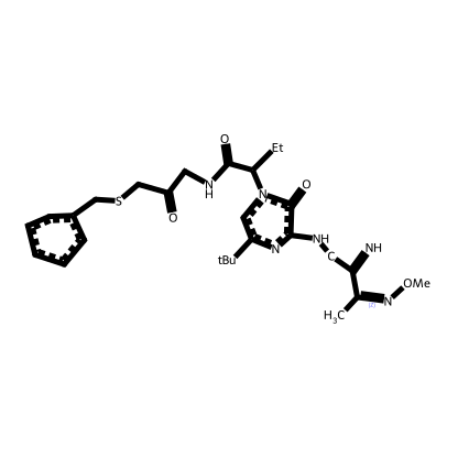 CCC(C(=O)NCC(=O)CSCc1ccccc1)n1cc(C(C)(C)C)nc(NCC(=N)/C(C)=N\OC)c1=O